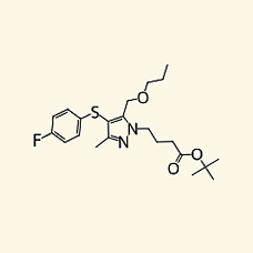 CCCOCc1c(Sc2ccc(F)cc2)c(C)nn1CCCC(=O)OC(C)(C)C